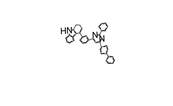 C1=C(c2cccc(-c3cc(-c4ccc(-c5ccccc5)cc4)nc(-c4ccccc4)n3)c2)c2c([nH]c3ccccc23)CC1